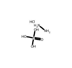 Cl.NN.O=P(O)(O)O